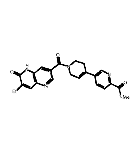 CCc1cc2ncc(C(=O)N3CC=C(c4ccc(C(=O)NC)nc4)CC3)cc2[nH]c1=O